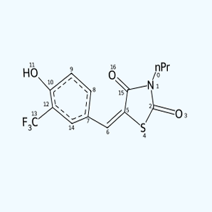 CCCN1C(=O)S/C(=C/c2ccc(O)c(C(F)(F)F)c2)C1=O